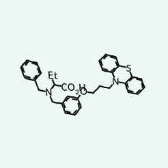 CCC(C(=O)O)N(Cc1ccccc1)Cc1cccc(OCCCN2c3ccccc3Sc3ccccc32)c1